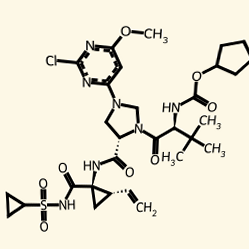 C=C[C@@H]1C[C@]1(NC(=O)[C@@H]1CN(c2cc(OC)nc(Cl)n2)CN1C(=O)[C@@H](NC(=O)OC1CCCC1)C(C)(C)C)C(=O)NS(=O)(=O)C1CC1